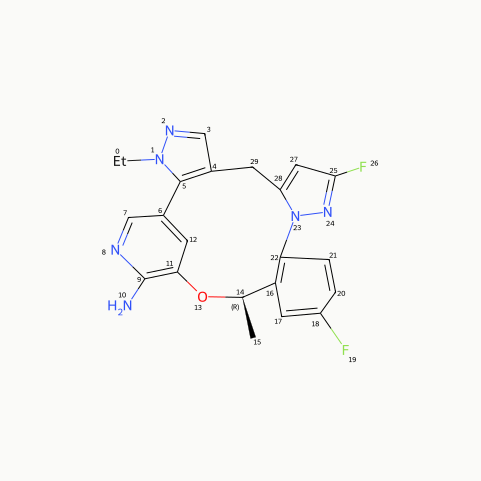 CCn1ncc2c1-c1cnc(N)c(c1)O[C@H](C)c1cc(F)ccc1-n1nc(F)cc1C2